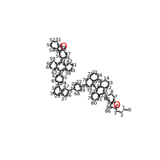 C=C/C=C\c1oc2ccc(-c3c4ccccc4c(-c4cc(-c5ccc(-c6ccc7cccc(-c8ccc(-c9c%10ccccc%10c(-c%10ccc%11oc%12ccccc%12c%11c%10)c%10ccccc9%10)cc8)c7c6)cc5)cc5ccccc45)c4ccccc34)cc2c1C